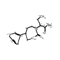 CCC(C(N)=O)N1CCC(c2ccsc2)CCC1=O